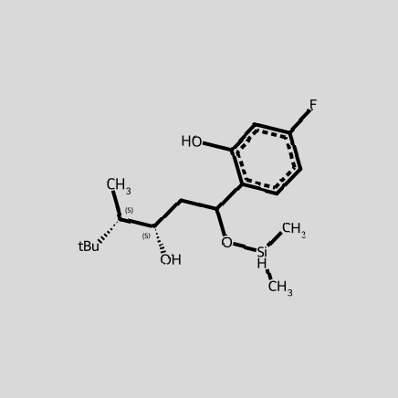 C[C@H]([C@@H](O)CC(O[SiH](C)C)c1ccc(F)cc1O)C(C)(C)C